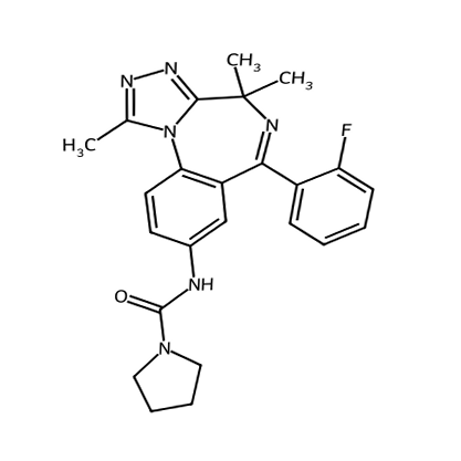 Cc1nnc2n1-c1ccc(NC(=O)N3CCCC3)cc1C(c1ccccc1F)=NC2(C)C